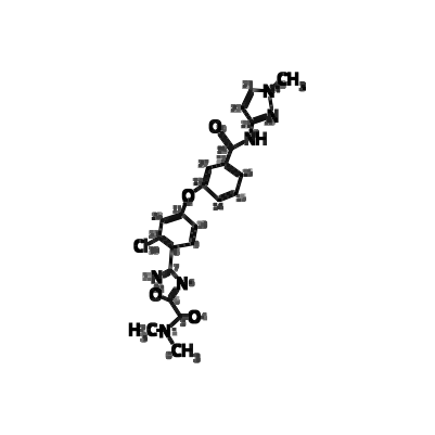 CN(C)C(=O)c1nc(-c2ccc(Oc3cccc(C(=O)Nc4ccn(C)n4)c3)cc2Cl)no1